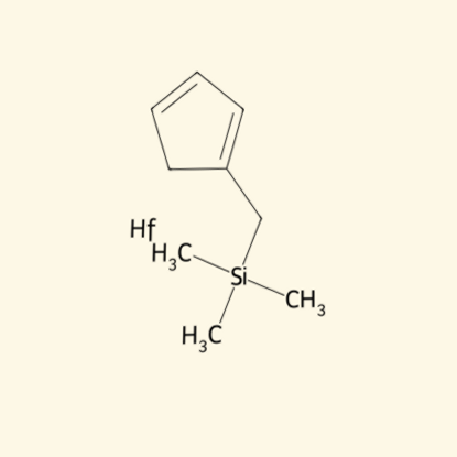 C[Si](C)(C)CC1=CC=CC1.[Hf]